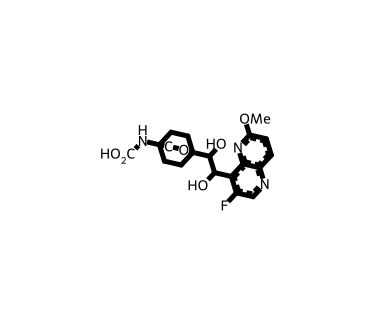 COc1ccc2ncc(F)c(C(O)C(O)C34CCC(NC(=O)O)(CC3)CO4)c2n1